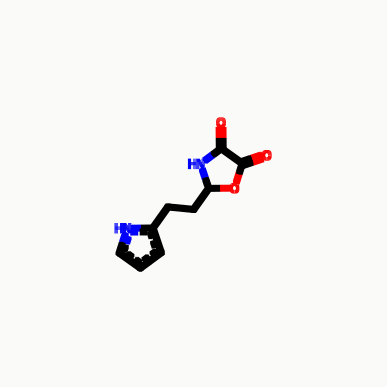 O=C1NC(CCc2ccc[nH]2)OC1=O